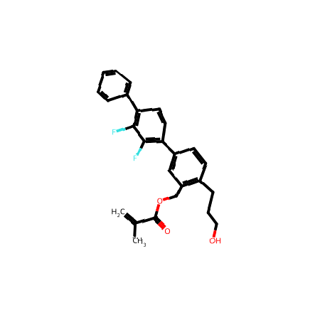 C=C(C)C(=O)OCc1cc(-c2ccc(-c3ccccc3)c(F)c2F)ccc1CCCO